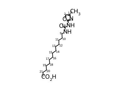 Cc1coc(NC(=O)NCCCCCCCCCCCCCC(=O)O)n1